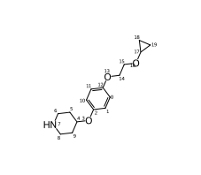 c1cc(OC2CCNCC2)ccc1OCCOC1CC1